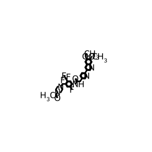 COc1cc2cc(-c3ccc(CC(=O)Nc4cc(C(F)(F)F)c(CN5CCN(C(C)=O)CC5)cc4F)cn3)cnc2cc1OC